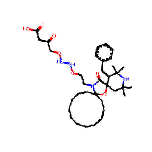 CC1(C)CC2(OC3(CCCCCCCCCCC3)N(CCONNOCC(=O)CC(=O)O)C2=O)C(Cc2ccccc2)C(C)(C)N1